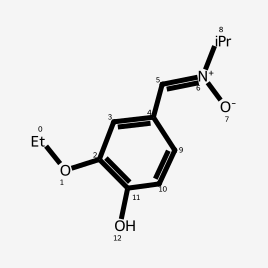 CCOc1cc(C=[N+]([O-])C(C)C)ccc1O